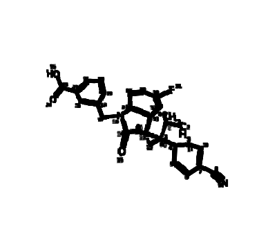 CC(C)[C@@]1(C2C=CC(C#N)=CC2)C[C@@]12C(=O)N(Cc1cccc(C(=O)O)c1)c1ccc(F)cc12